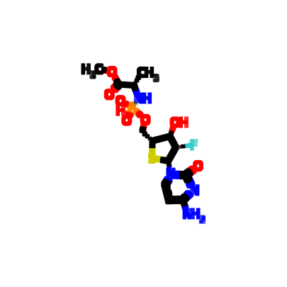 COC(=O)[C@H](C)NP(=O)(O)OC[C@H]1S[C@@H](n2ccc(N)nc2=O)[C@@H](F)[C@@H]1O